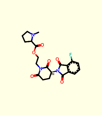 CN1CCCC1C(=O)OCCN1C(=O)CC[C@H](N2C(=O)c3cccc(F)c3C2=O)C1=O